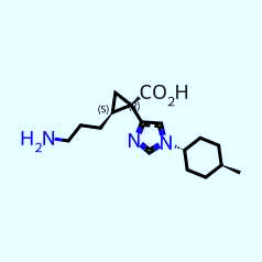 C[C@H]1CC[C@H](n2cnc([C@@]3(C(=O)O)C[C@@H]3CCCN)c2)CC1